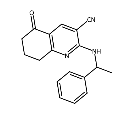 CC(Nc1nc2c(cc1C#N)C(=O)CCC2)c1ccccc1